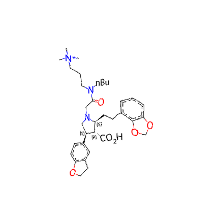 CCCCN(CCC[N+](C)(C)C)C(=O)CN1C[C@H](c2ccc3c(c2)CCO3)[C@@H](C(=O)O)[C@@H]1CCc1cccc2c1OCO2